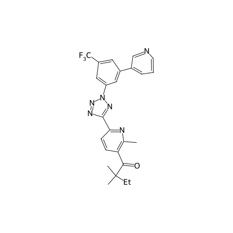 CCC(C)(C)C(=O)c1ccc(-c2nnn(-c3cc(-c4cccnc4)cc(C(F)(F)F)c3)n2)nc1C